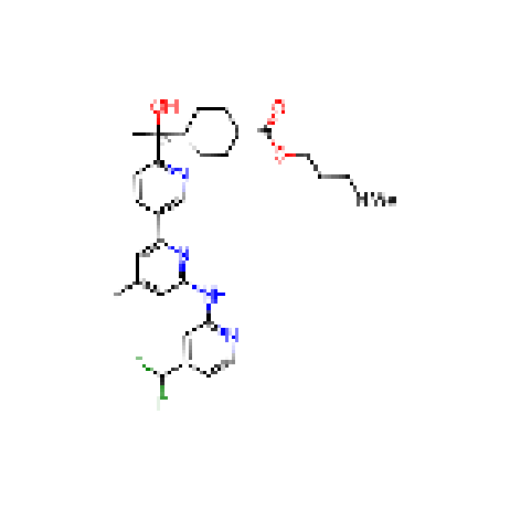 CNCCCOC(=O)[C@H]1CC[C@H]([C@@](C)(O)c2ccc(-c3cc(C)cc(Nc4cc(C(F)F)ccn4)n3)cn2)CC1